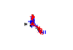 CC(C)n1nc(N2CC(CN[C@H]3C[C@H](Oc4ccc5c(c4)C(=O)N(C4CCC(=O)NC4=O)C5=O)C3)C2)c2cnc(Nc3ccnc(-c4cnn(S(=O)(=O)C5CC5)c4)n3)cc21